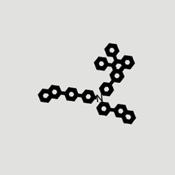 c1ccc(-c2c(-c3ccccc3)c3cc(-c4ccc(N(c5ccc(-c6ccc(-c7ccc8ccccc8c7)cc6)cc5)c5cccc(-c6ccc7ccccc7c6)c5)cc4)ccc3c3ccccc23)cc1